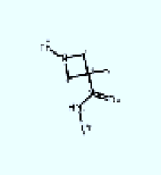 CCN1CC(C)(C(=O)NC(C)C)C1